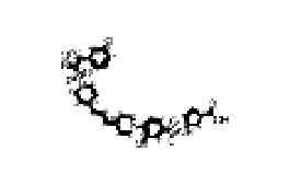 O=C(O)C1CCC(NS(=O)(=O)c2ccc(N3CCC(CCCC4CCN(S(=O)(=O)c5nonc5-c5cccc(Cl)c5)CC4)CC3)c(Cl)c2)C1